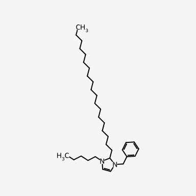 CCCCCCCCCCCCCCCCCCCC1N(CCCCC)C=CN1Cc1ccccc1